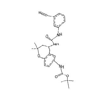 CC(C)(C)OC(=O)Nc1ccc2c(c1)C(NC(=O)Nc1cccc(C#N)c1)CC(C)(C)O2